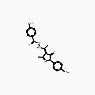 CC1=NN(c2ccc(C(C)(C)C)cc2)C(=O)C1=C(C)NNC(=O)c1ccc(C(=O)O)cc1